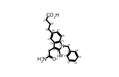 NC(=O)Cc1c(Br)n(Cc2ccccc2)c2ccc(CCCC(=O)O)cc12